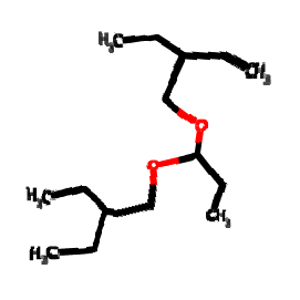 CCC(CC)COC(CC)OCC(CC)CC